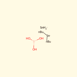 CCC[CH2][Sn][CH2]CCC.OB(O)O.[SnH2]